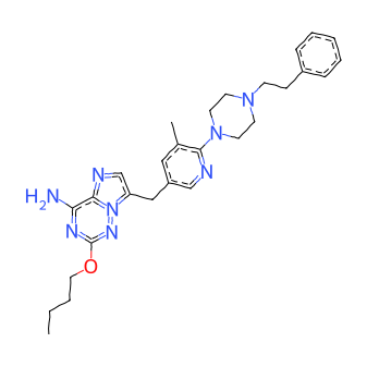 CCCCOc1nc(N)c2ncc(Cc3cnc(N4CCN(CCc5ccccc5)CC4)c(C)c3)n2n1